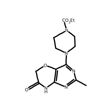 CCOC(=O)N1CCN(c2nc(C)nc3c2OCC(=O)N3)CC1